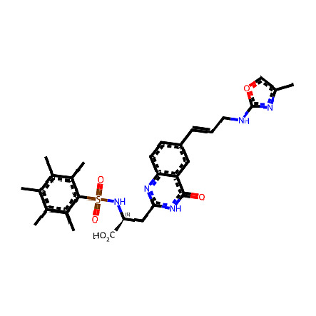 Cc1coc(NCC=Cc2ccc3nc(C[C@H](NS(=O)(=O)c4c(C)c(C)c(C)c(C)c4C)C(=O)O)[nH]c(=O)c3c2)n1